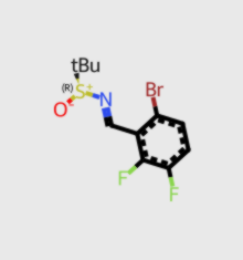 CC(C)(C)[S@+]([O-])N=Cc1c(Br)ccc(F)c1F